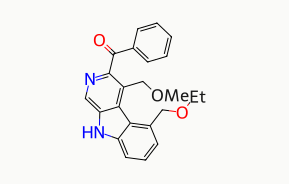 CCOCc1cccc2[nH]c3cnc(C(=O)c4ccccc4)c(COC)c3c12